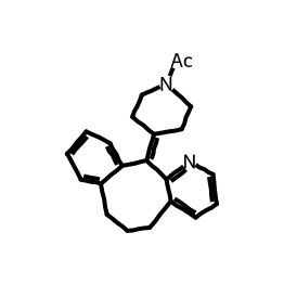 CC(=O)N1CCC(=C2c3ccccc3CCCc3cccnc32)CC1